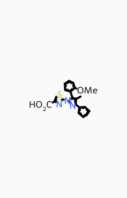 COc1ccccc1-c1c(C)c(-c2ccccc2)nn1-c1nc(C(=O)O)cs1